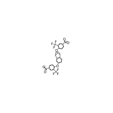 O=[N+]([O-])c1ccc(Oc2ccc3c(c2)C2CCC3C2Oc2ccc([N+](=O)[O-])cc2C(F)(F)F)c(C(F)(F)F)c1